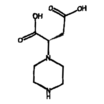 O=C(O)C[C@@H](C(=O)O)N1CCNCC1